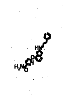 NC(=O)c1ccc(Oc2cccc3c2CC(NCCCc2ccccc2)C3)nc1